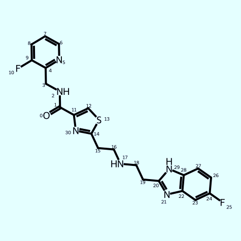 O=C(NCc1ncccc1F)c1csc(CCNCCc2nc3cc(F)ccc3[nH]2)n1